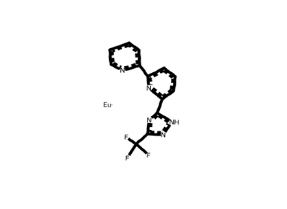 FC(F)(F)c1n[nH]c(-c2cccc(-c3ccccn3)n2)n1.[Eu]